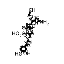 C#CCON=C(C(=O)N[C@@H]1C(=O)N2C(OC(=O)O)=C(CSc3nnc(-c4ccc(O)c(O)c4)s3)CS[C@@H]12)c1csc(N)n1